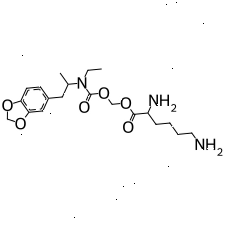 CCN(C(=O)OCOC(=O)C(N)CCCCN)C(C)Cc1ccc2c(c1)OCO2